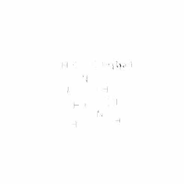 C[N+](C)(C)C.C[N+](C)(C)C.[NaH].[NaH]